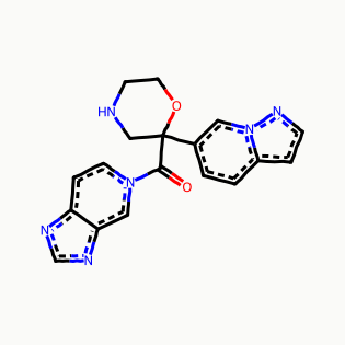 O=C(n1ccc2ncnc-2c1)C1(c2ccc3ccnn3c2)CNCCO1